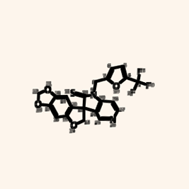 FC(F)(F)c1ccc(CN2C(=S)C3(COc4cc5c(cc43)OCO5)c3cnccc32)o1